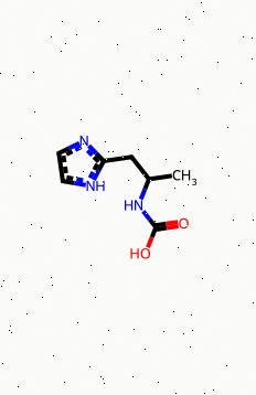 CC(Cc1ncc[nH]1)NC(=O)O